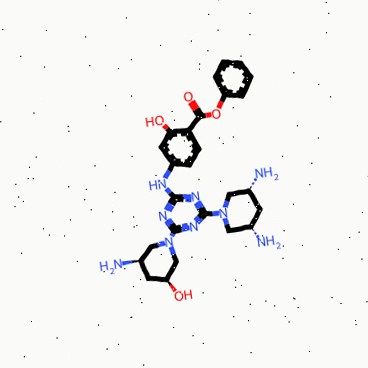 N[C@@H]1C[C@H](N)CN(c2nc(Nc3ccc(C(=O)Oc4ccccc4)c(O)c3)nc(N3C[C@H](N)C[C@H](O)C3)n2)C1